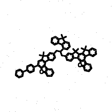 CC1(C)c2ccccc2-c2c(C(Cc3ccc4c(c3)C(C)(C)c3cc(-c5ccc(-c6ccccc6)cc5)c5oc6ccccc6c5c3-4)Cc3ccc4c(c3)C(C)(C)c3c5c(c6c(oc7ccccc76)c3-4)-c3ccccc3C5(C)C)cccc21